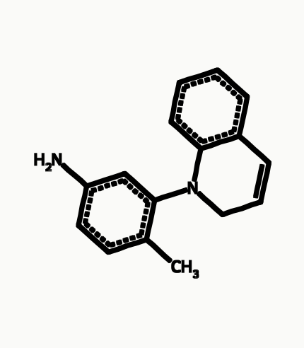 Cc1ccc(N)cc1N1CC=Cc2ccccc21